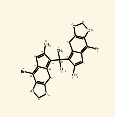 CC1=CC2=C(Br)C3=C(CC2=C1C(C)(C)C1=C2CC4=C(OCO4)C(Br)=C2C=C1C)OCO3